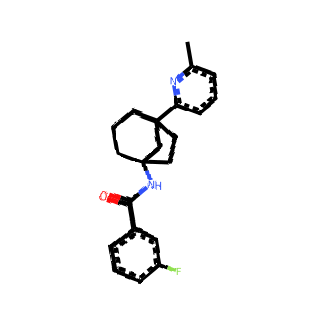 Cc1cccc(C23CCCC(NC(=O)c4cccc(F)c4)(CC2)C3)n1